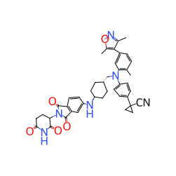 Cc1ccc(-c2c(C)noc2C)cc1N(C[C@H]1CC[C@H](Nc2ccc3c(c2)C(=O)N(C2CCC(=O)NC2=O)C3=O)CC1)c1ccc(C2(C#N)CC2)cc1